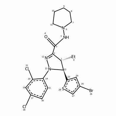 CC[C@H]1C(C(=O)NN2CCCCC2)=NN(c2ccc(Cl)cc2Cl)[C@@H]1c1cc(Br)cs1